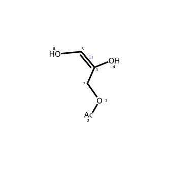 CC(=O)OC/C(O)=C\O